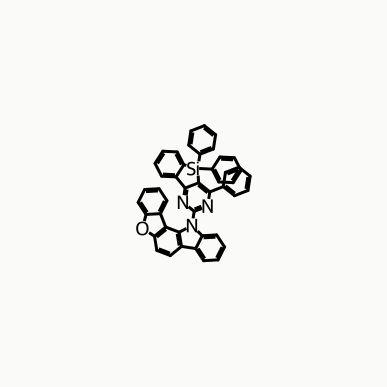 c1ccc(-c2nc(-n3c4ccccc4c4ccc5oc6ccccc6c5c43)nc3c2[Si](c2ccccc2)(c2ccccc2)c2ccccc2-3)cc1